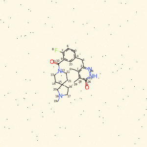 Cc1c(Cc2ccc(F)c(C(=O)N3CCC4(CCN(C)C4)CC3)c2)n[nH]c(=O)c1C